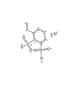 C=Cc1cccc(S(=O)(=O)[O-])c1S(=O)(=O)[O-].[Li+].[Li+]